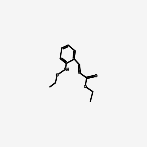 CCONc1ccccc1C=CC(=O)OCC